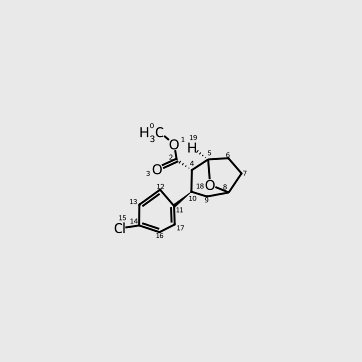 COC(=O)[C@@H]1[C@H]2CCC(C[C@H]1c1ccc(Cl)cc1)O2